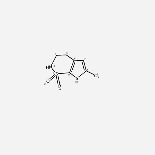 O=S1(=O)NCCc2cc(Cl)sc21